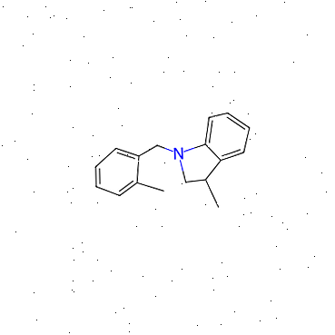 Cc1ccccc1CN1CC(C)c2ccccc21